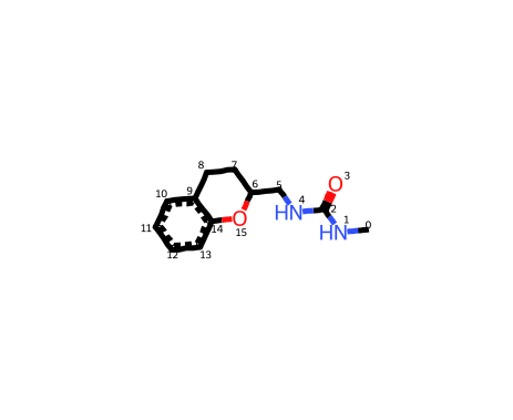 CNC(=O)NCC1CCc2ccccc2O1